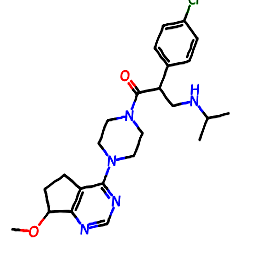 COC1CCc2c1ncnc2N1CCN(C(=O)C(CNC(C)C)c2ccc(Cl)cc2)CC1